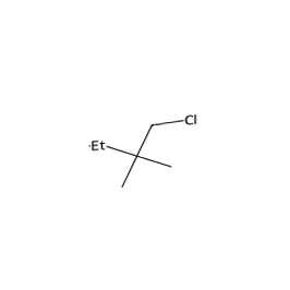 C[CH]C(C)(C)CCl